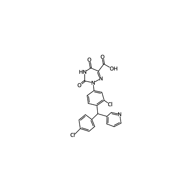 O=C(O)c1nn(-c2ccc(C(c3ccc(Cl)cc3)c3cccnc3)c(Cl)c2)c(=O)[nH]c1=O